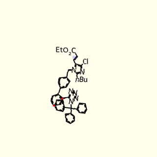 CCCCc1nc(Cl)c(/C=C/C(=O)OCC)n1Cc1ccc(-c2ccccc2-c2nnnn2C(c2ccccc2)(c2ccccc2)c2ccccc2)cc1